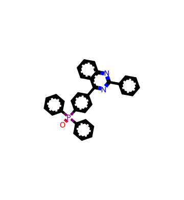 O=P(c1ccccc1)(c1ccccc1)c1ccc(-c2nc(-c3ccccc3)nc3ccccc23)cc1